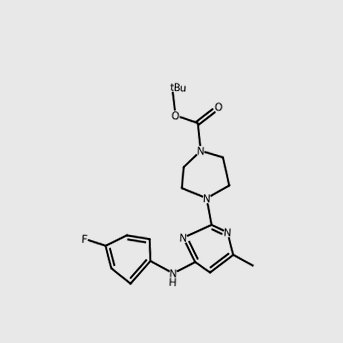 Cc1cc(Nc2ccc(F)cc2)nc(N2CCN(C(=O)OC(C)(C)C)CC2)n1